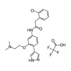 CN(C)CCOc1cc(NC(=O)Cc2ccccc2Cl)ccc1-c1cn[nH]c1.O=C(O)C(F)(F)F